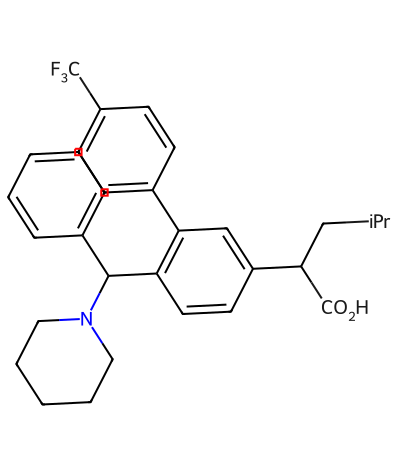 CC(C)CC(C(=O)O)c1ccc(C(c2ccccc2)N2CCCCC2)c(-c2ccc(C(F)(F)F)cc2)c1